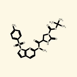 Cc1ccc(S(=O)(=O)n2ccc3ccc(N(C)C(=O)C4CN(C(=O)OC(C)(C)C)C(=O)N4)nc32)cc1